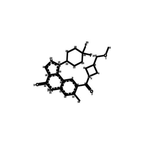 COCC1CN(C(=O)c2cc3c(cc2C)[nH]c(=O)c2cnn(C4CCC(F)(F)CC4)c23)C1